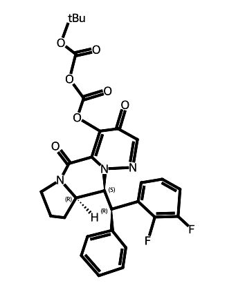 CC(C)(C)OC(=O)OC(=O)Oc1c2n(ncc1=O)[C@@H]([C@H](c1ccccc1)c1cccc(F)c1F)[C@H]1CCCN1C2=O